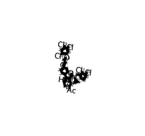 CC(=O)N1CC2CC(c3ccc(OCCOc4cc(Cl)c(Cl)cc4Cl)cc3)=C(C(=O)N(Cc3cccc(Cl)c3Cl)C3CC3)C(C1)N2